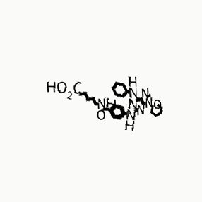 O=C(O)CCCCCNC(=O)c1ccc(Nc2nc(NC3CCCCC3)c3ncn(C4CCCCO4)c3n2)cc1